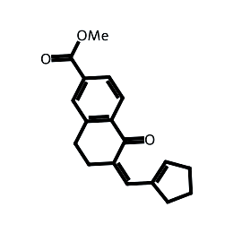 COC(=O)c1ccc2c(c1)CC/C(=C/C1=CCCC1)C2=O